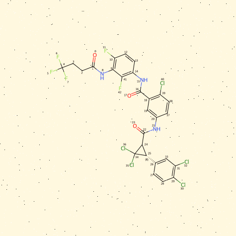 O=C(CCC(F)(F)F)Nc1c(F)ccc(NC(=O)c2cc(NC(=O)C3[C@H](c4ccc(Cl)c(Cl)c4)C3(Cl)Cl)ccc2Cl)c1F